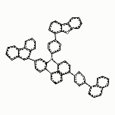 c1ccc(-c2ccc(-c3cc4ccccc4c4ccccc34)cc2N(c2ccc(-c3ccc(-c4cccc5ccccc45)cc3)cc2)c2ccc(-c3cccc4c3oc3ccccc34)cc2)cc1